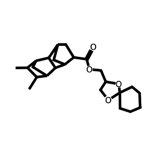 CC1C(C)C2CC1C1C3CC(C(=O)OCC4COC5(CCCCC5)O4)C(C3)C21